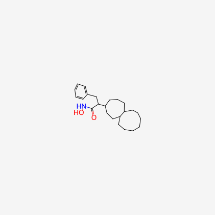 O=C(NO)C(Cc1ccccc1)C1CCCC2CCCCCCCC2CC1